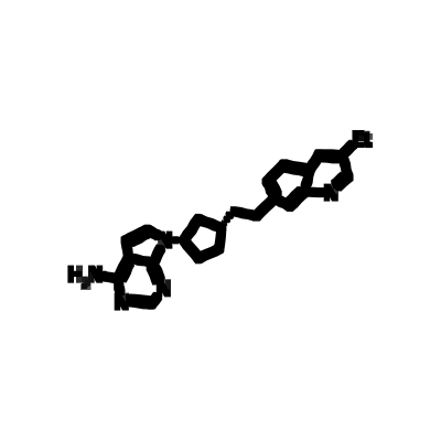 CCc1cnc2cc(CC[C@@H]3CC[C@H](n4ccc5c(N)ncnc54)C3)ccc2c1